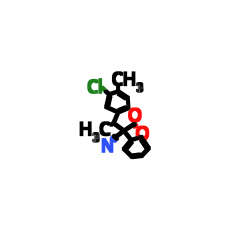 Cc1cc2c(cc1Cl)C(C)C(C#N)(c1ccccc1)C(=O)O2